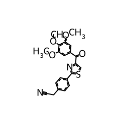 COc1cc(C(=O)c2csc(-c3ccc(CC#N)cc3)n2)cc(OC)c1OC